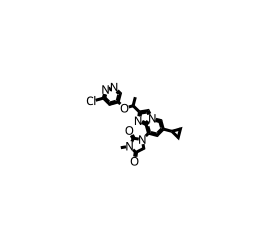 CC(Oc1cnnc(Cl)c1)c1cn2cc(C3CC3)cc(N3CC(=O)N(C)C3=O)c2n1